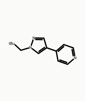 CC(C)(C)Cn1cc(-c2ccncc2)cn1